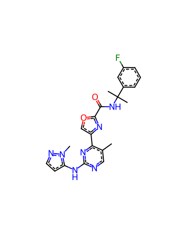 Cc1cnc(Nc2ccnn2C)nc1-c1coc(C(=O)NC(C)(C)c2cccc(F)c2)n1